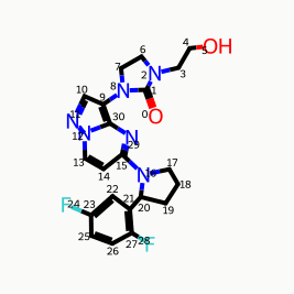 O=C1N(CCO)CCN1c1cnn2ccc(N3CCCC3c3cc(F)ccc3F)nc12